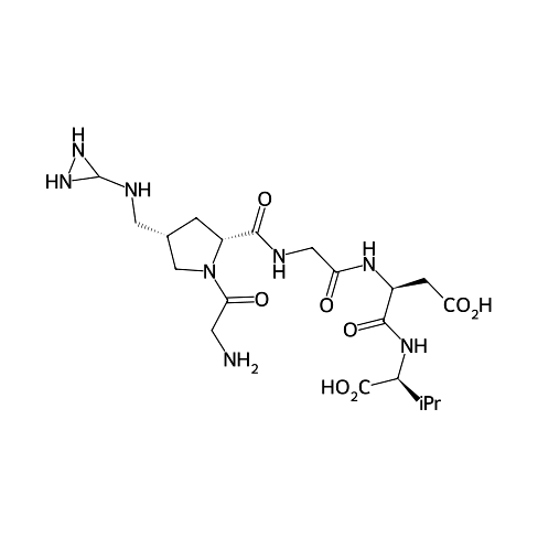 CC(C)[C@H](NC(=O)[C@H](CC(=O)O)NC(=O)CNC(=O)[C@H]1C[C@@H](CNC2NN2)CN1C(=O)CN)C(=O)O